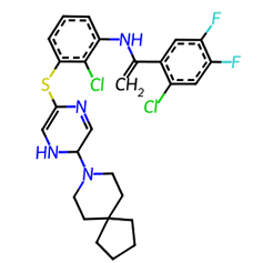 C=C(Nc1cccc(SC2=CNC(N3CCC4(CCCC4)CC3)C=N2)c1Cl)c1cc(F)c(F)cc1Cl